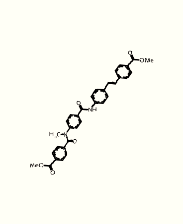 COC(=O)c1ccc(C=Cc2ccc(NC(=O)c3ccc(N(C)C(=O)c4ccc(C(=O)OC)cc4)cc3)cc2)cc1